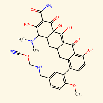 COc1ccc(CNCOC#N)cc1-c1ccc(O)c2c1CC1CC3C(N(C)C)C(O)=C(C(N)=O)C(=O)C3(O)C(O)=C1C2=O